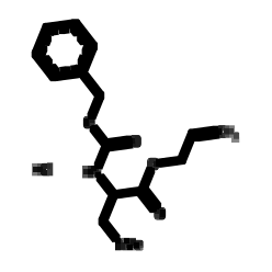 C=CCOC(=O)C(CNC)NC(=O)OCc1ccccc1.Cl